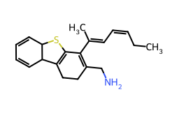 CC/C=C\C=C(/C)C1=C(CN)CCC2=C1SC1C=CC=CC21